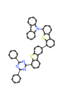 c1ccc(-c2nc(-c3ccccc3)nc(-c3cccc4c3sc3ccc(-c5cccc6c5sc5c(-n7c8ccccc8c8ccccc87)cccc56)cc34)n2)cc1